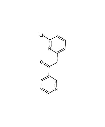 O=C(Cc1cccc(Cl)n1)c1cccnc1